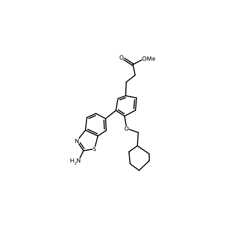 COC(=O)CCc1ccc(OCC2CCCCC2)c(-c2ccc3nc(N)sc3c2)c1